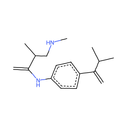 C=C(c1ccc(NC(=C)C(C)CNC)cc1)C(C)C